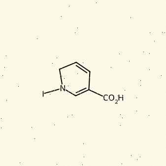 O=C(O)C1=CN(I)CC=C1